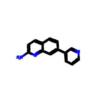 Nc1ccc2ccc(-c3cccnc3)cc2n1